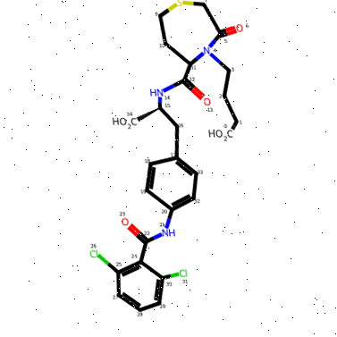 O=C(O)CCCN1C(=O)CSCCC1C(=O)N[C@@H](Cc1ccc(NC(=O)c2c(Cl)cccc2Cl)cc1)C(=O)O